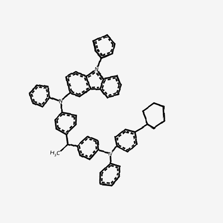 CC(c1ccc(N(c2ccccc2)c2ccc(C3CCCCC3)cc2)cc1)c1ccc(N(c2ccccc2)c2ccc3c(c2)c2ccccc2n3-c2ccccc2)cc1